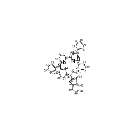 c1ccc(-c2nc(-c3ccccc3)nc(-c3cccc(-n4c5ccccc5c5ccc(-c6cccc7c6sc6ccccc67)cc54)n3)n2)cc1